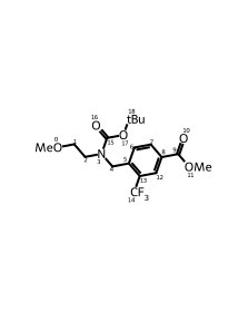 COCCN(Cc1ccc(C(=O)OC)cc1C(F)(F)F)C(=O)OC(C)(C)C